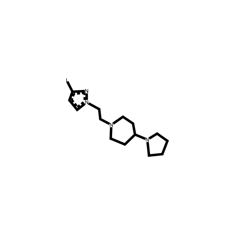 Ic1ccn(CCN2CCC(N3CCCC3)CC2)n1